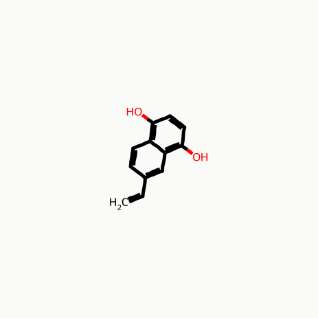 C=Cc1ccc2c(O)ccc(O)c2c1